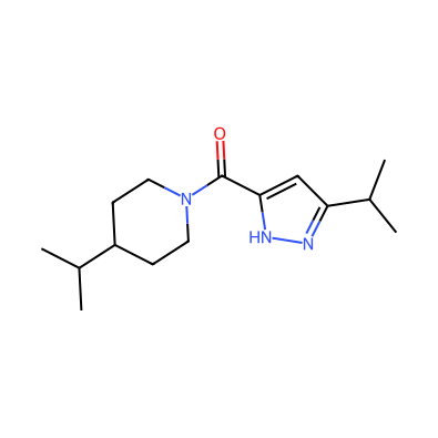 CC(C)c1cc(C(=O)N2CCC(C(C)C)CC2)[nH]n1